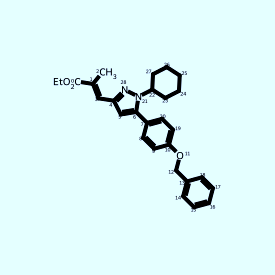 CCOC(=O)C(C)=Cc1cc(-c2ccc(OCc3ccccc3)cc2)n(C2CCCCC2)n1